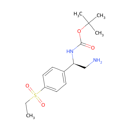 CCS(=O)(=O)c1ccc([C@H](CN)NC(=O)OC(C)(C)C)cc1